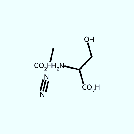 CC(=O)O.N#N.NC(CO)C(=O)O